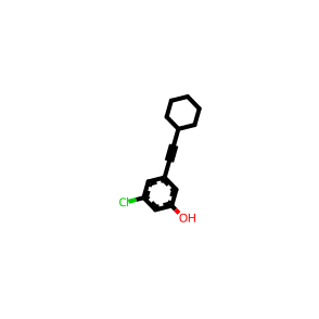 Oc1cc(Cl)cc(C#CC2CCCCC2)c1